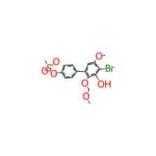 COCOc1c(-c2ccc(OS(C)(=O)=O)cc2)cc(OC)c(Br)c1O